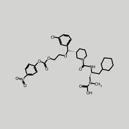 CN(C[C@@H](CC1CCCCC1)NC(=O)N1CCC[C@@H](C(OCCOC(=O)Oc2ccc([N+](=O)[O-])cc2)c2cccc(Cl)c2)C1)C(=O)O